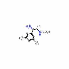 C[C@H](NC(=O)O)[C@H](N)c1cc(C(F)(F)F)cc(C(F)(F)F)c1